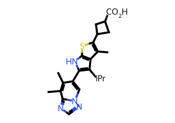 Cc1c(-c2[nH]c3sc(C4CC(C(=O)O)C4)c(C)c3c2C(C)C)cn2ncnc2c1C